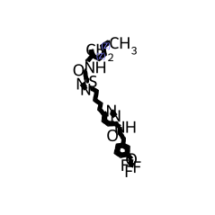 C=C(/C=C\C=C/C)CNC(=O)c1nnc(CCCCc2ccc(NC(=O)Cc3cccc(OC(F)(F)F)c3)nn2)s1